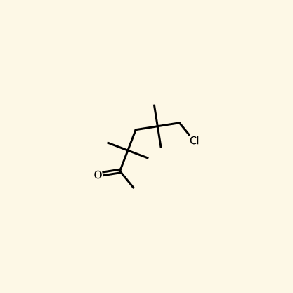 CC(=O)C(C)(C)CC(C)(C)CCl